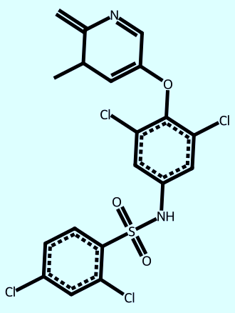 C=C1N=CC(Oc2c(Cl)cc(NS(=O)(=O)c3ccc(Cl)cc3Cl)cc2Cl)=CC1C